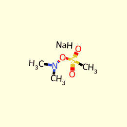 CN(C)OS(C)(=O)=O.[NaH]